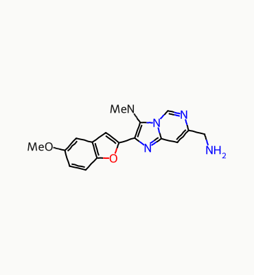 CNc1c(-c2cc3cc(OC)ccc3o2)nc2cc(CN)ncn12